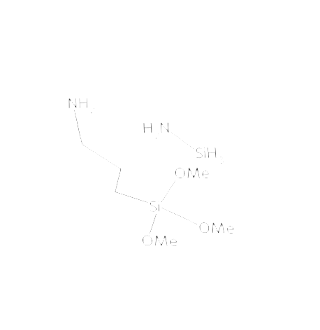 CO[Si](CCCN)(OC)OC.N[SiH3]